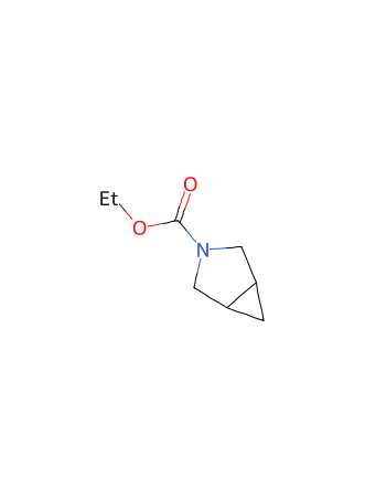 CCOC(=O)N1CC2CC2C1